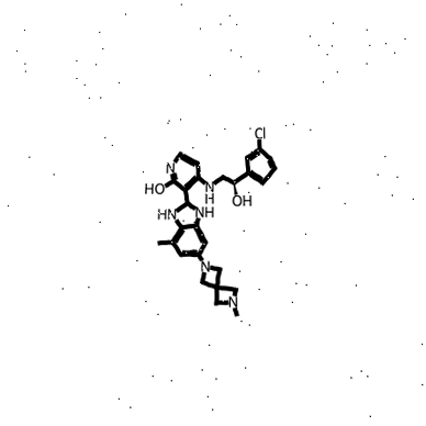 Cc1cc(N2CC3(CN(C)C3)C2)cc2c1NC(c1c(NC[C@H](O)c3cccc(Cl)c3)ccnc1O)N2